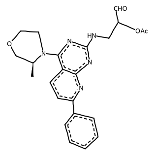 CC(=O)OC(C=O)CNc1nc(N2CCOC[C@@H]2C)c2ccc(-c3ccccc3)nc2n1